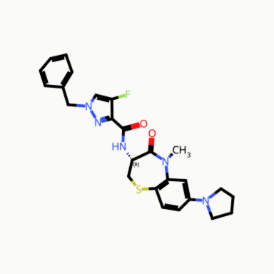 CN1C(=O)[C@@H](NC(=O)c2nn(Cc3ccccc3)cc2F)CSc2ccc(N3CCCC3)cc21